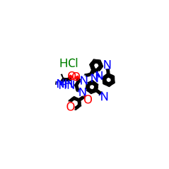 CN[C@@H](C)C(=O)N[C@H]1CN(C(=O)C2CCOCC2)c2cc(C#N)ccc2N(Cc2nn(-c3ccccc3C#N)c3ccccc23)C1=O.Cl